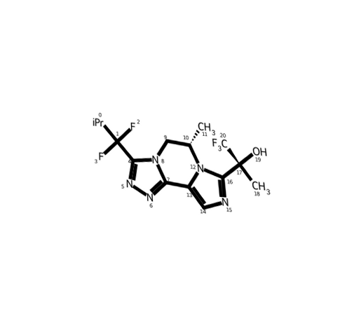 CC(C)C(F)(F)c1nnc2n1C[C@H](C)n1c-2cnc1[C@@](C)(O)C(F)(F)F